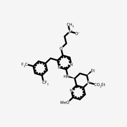 CCOC(=O)N1c2ccc(OC)nc2[C@@H](Nc2ncc(OCC[S+](C)[O-])c(Cc3cc(C(F)(F)F)cc(C(F)(F)F)c3)n2)C[C@H]1CC